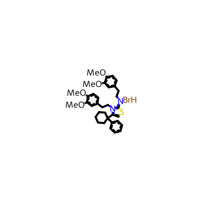 Br.COc1ccc(CC/N=c2/scc(C3(c4ccccc4)CCCCC3)n2CCc2ccc(OC)c(OC)c2)cc1OC